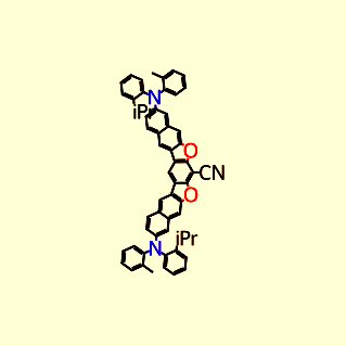 Cc1ccccc1N(c1ccc2cc3c(cc2c1)oc1c(C#N)c2oc4cc5cc(N(c6ccccc6C)c6ccccc6C(C)C)ccc5cc4c2cc13)c1ccccc1C(C)C